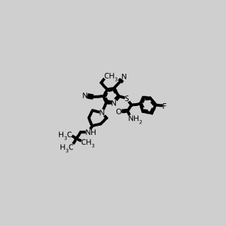 CCc1c(C#N)c(SC(C(N)=O)c2ccc(F)cc2)nc(N2CCC(NCC(C)(C)C)CC2)c1C#N